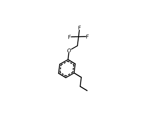 CCCc1cccc(OCC(F)(F)F)c1